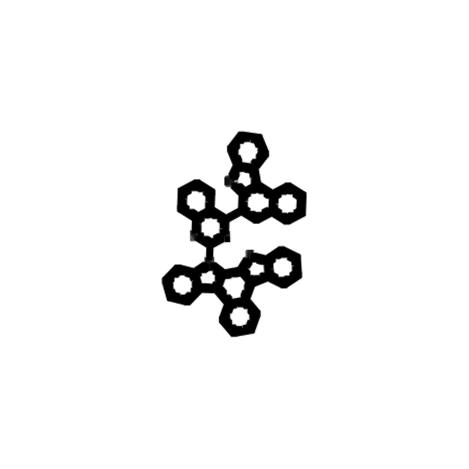 c1ccc2c(c1)cc(-c1nc(-n3c4ccccc4c4c5ccccc5c5c6ccccc6sc5c43)nc3ccccc13)c1oc3ccccc3c12